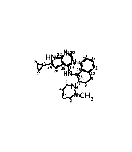 C[C@@H]1COCCN1[C@H]1CCc2ccccc2[C@@H]1Nc1ncnc2[nH]c(C3CC3)cc12